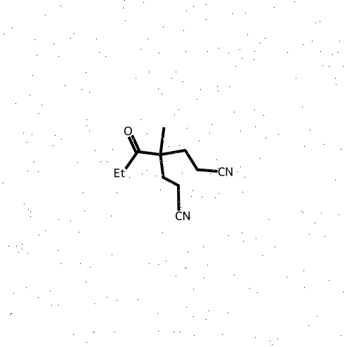 CCC(=O)C(C)(CCC#N)CCC#N